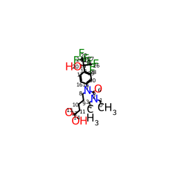 CCN(CC)C(=O)N(CCCCC(=O)O)c1ccc(C(O)(C(F)(F)F)C(F)(F)F)cc1